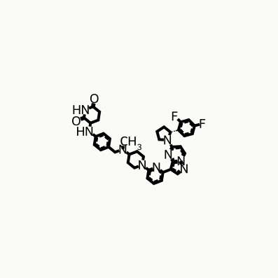 CN(Cc1ccc(NC2CCC(=O)NC2=O)cc1)C1CCN(c2cccc(-c3cnn4ccc(N5CCC[C@@H]5c5ccc(F)cc5F)nc34)n2)CC1